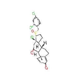 C[C@]12C=CC(=O)C=C1CC[C@@H]1[C@@H]2C(=O)C[C@@]2(C)[C@H]1CC[C@]2(Cl)[S+]([O-])Cc1ccc(Cl)cc1Cl